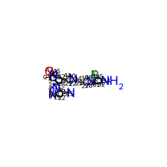 Cc1cc2c(N3CCN(C)c4ccc(C#N)cc43)cc(C3CCN(CCC4CCN(c5ccc(N)cc5F)CC4)CC3)cc2n(C)c1=O